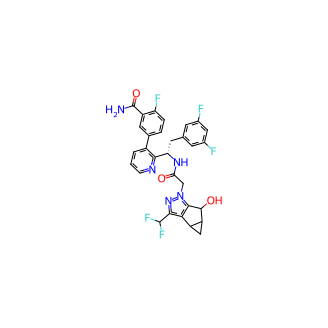 NC(=O)c1cc(-c2cccnc2[C@H](Cc2cc(F)cc(F)c2)NC(=O)Cn2nc(C(F)F)c3c2C(O)C2CC32)ccc1F